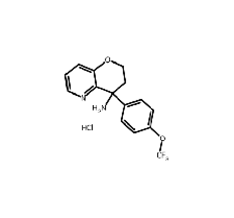 Cl.NC1(c2ccc(OC(F)(F)F)cc2)CCOc2cccnc21